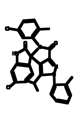 Cc1ccc(Cl)cc1N1C(=O)c2nn(-c3ccccc3C)c(C(C)C)c2C12C(=O)Nc1cc(Cl)ccc12